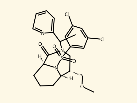 COC[C@H]1CN(C(C)c2ccccn2)C(=O)[C@@H]2CCC[C@H]1N2S(=O)(=O)c1cc(Cl)cc(Cl)c1